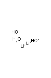 O.[Li+].[Li+].[OH-].[OH-]